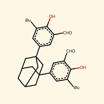 CCC(C)c1cc(C23CC4CC(C2)CC(c2cc(C=O)c(O)c(C(C)CC)c2)(C4)C3)cc(C=O)c1O